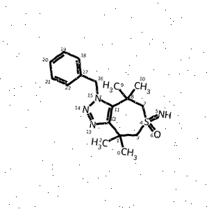 CC1(C)CS(=N)(=O)CC(C)(C)c2c1nnn2Cc1ccccc1